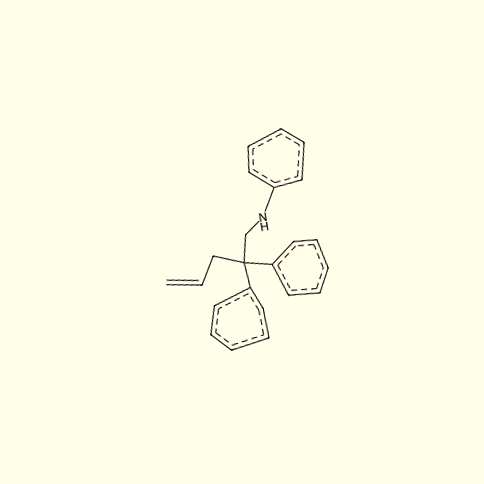 C=CCC(CNc1ccccc1)(c1ccccc1)c1ccccc1